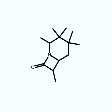 CC1C(=O)N2C1CC(C)(C)C(C)(C)C2C